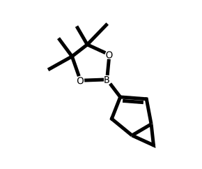 CC1(C)OB(C2=CC3CC3C2)OC1(C)C